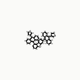 c1cc(-c2c3ccccc3c(-c3ccsc3)c3ccccc23)c2c(c1)oc1cc(-c3c4ccccc4c(-c4ccsc4)c4ccccc34)ccc12